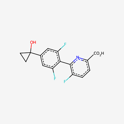 O=C(O)c1ccc(F)c(-c2c(F)cc(C3(O)CC3)cc2F)n1